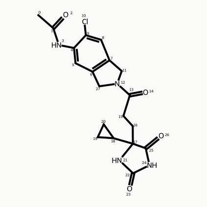 CC(=O)Nc1cc2c(cc1Cl)CN(C(=O)CCC1(C3CC3)NC(=O)NC1=O)C2